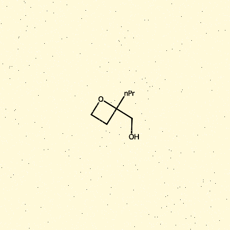 CCCC1(CO)CCO1